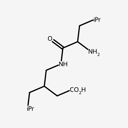 CC(C)CC(CNC(=O)C(N)CC(C)C)CC(=O)O